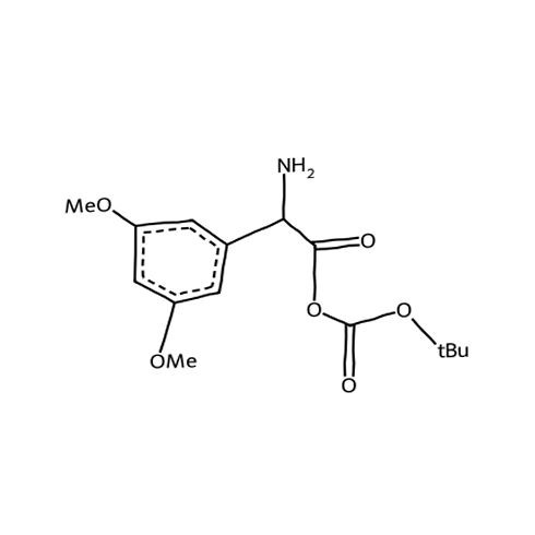 COc1cc(OC)cc(C(N)C(=O)OC(=O)OC(C)(C)C)c1